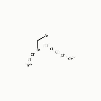 BrCBr.[Cl-].[Cl-].[Cl-].[Cl-].[Cl-].[Cl-].[Ti+4].[Zn+2]